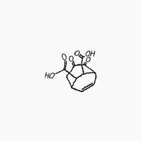 O=C1CC2C=CC(C1=O)C(C(=O)O)C2C(=O)O